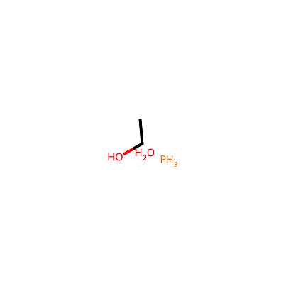 CCO.O.P